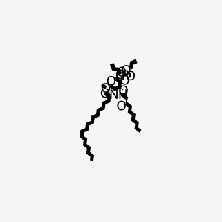 C=CCOP(=O)(OCC=C)O[C@H]1[C@H](OCC[C@@H](CCCCCCC)OC)[C@@H](NC(=O)CCCCCCCCC/C=C\CCCCCC)[C@H](OC)O[C@@H]1COC